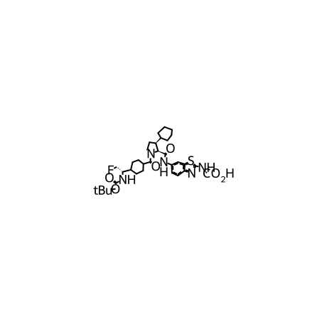 CC(C)(C)OC(=O)N[C@H](CF)C1CCC(C(=O)N2CC[C@@H](C3CCCCC3)[C@H]2C(=O)Nc2ccc3nc(NC(=O)O)sc3c2)CC1